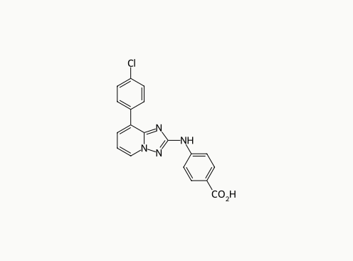 O=C(O)c1ccc(Nc2nc3c(-c4ccc(Cl)cc4)cccn3n2)cc1